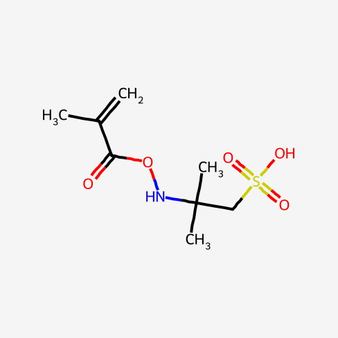 C=C(C)C(=O)ONC(C)(C)CS(=O)(=O)O